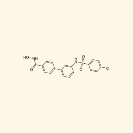 O=C(NO)c1ccc(-c2cccc(NS(=O)(=O)c3ccc(Cl)cc3)c2)cc1